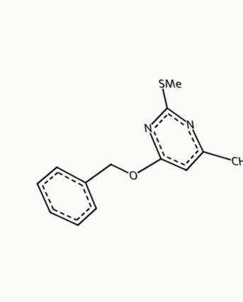 CSc1nc(C)cc(OCc2ccccc2)n1